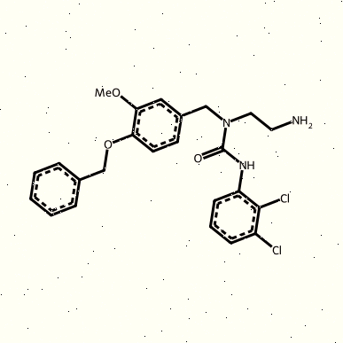 COc1cc(CN(CCN)C(=O)Nc2cccc(Cl)c2Cl)ccc1OCc1ccccc1